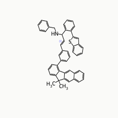 CC1(C)c2cc3ccccc3cc2-c2c(-c3cccc(/C=C/C(NCc4ccccc4)c4ccccc4-c4cc5ccccc5s4)c3)cccc21